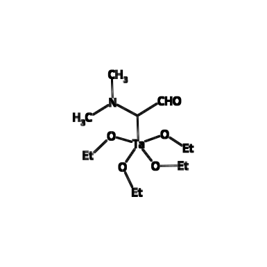 CC[O][Ta]([O]CC)([O]CC)([O]CC)[CH](C=O)N(C)C